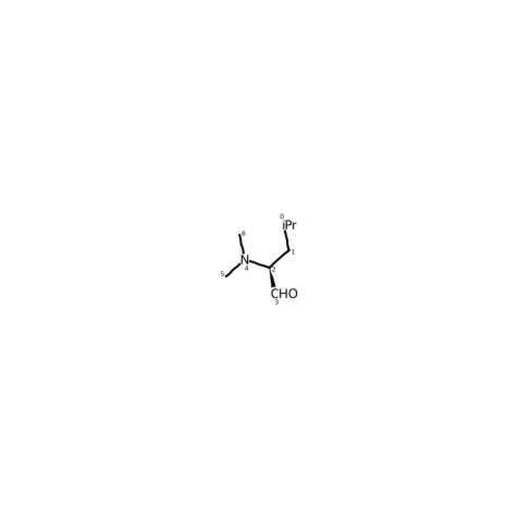 CC(C)C[C@@H](C=O)N(C)C